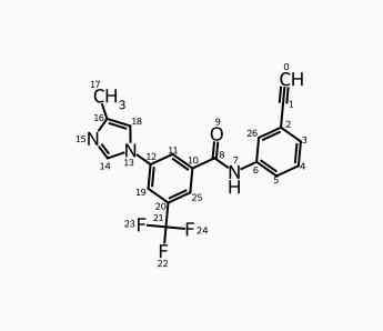 C#Cc1cccc(NC(=O)c2cc(-n3cnc(C)c3)cc(C(F)(F)F)c2)c1